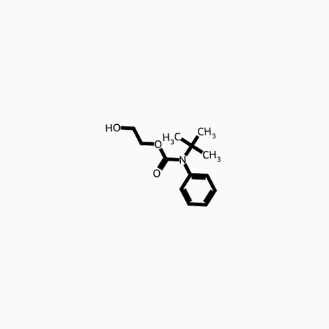 CC(C)(C)N(C(=O)OCCO)c1ccccc1